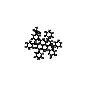 Cc1ccc(N(c2ccccc2)c2cc(-c3ccccc3)c3ccc4c(N(c5ccccc5)c5ccc([Si](C)(C)C)cc5)cc(-c5ccccc5)c5ccc2c3c54)cc1